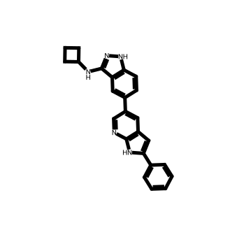 c1ccc(-c2cc3cc(-c4ccc5[nH]nc(NC6CCC6)c5c4)cnc3[nH]2)cc1